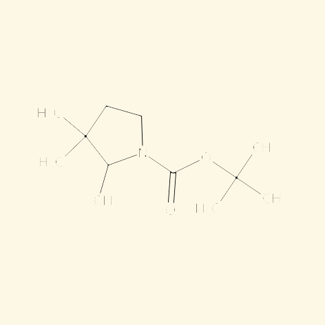 CC1N(C(=O)OC(C)(C)C)CCC1(C)C